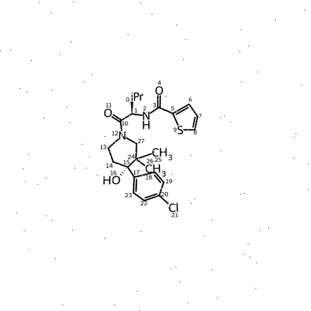 CC(C)[C@@H](NC(=O)c1cccs1)C(=O)N1CC[C@](O)(c2ccc(Cl)cc2)C(C)(C)C1